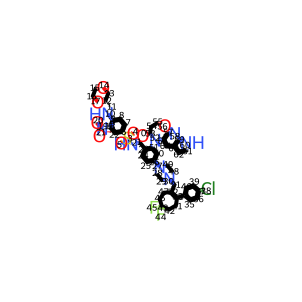 O=C(NS(=O)(=O)c1ccc(NC[C@H]2COCCO2)c([N+](=O)[O-])c1)c1ccc(N2CCN(CC3=C(c4ccc(Cl)cc4)CCC(F)(F)CC3)CC2)cc1N1CCCOc2nc3[nH]ccc3cc21